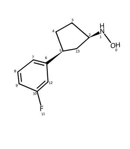 ON[C@@H]1CC[C@H](c2cccc(F)c2)C1